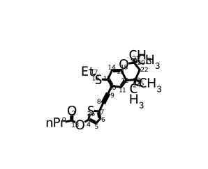 CCCC(=O)Oc1ccc(C#Cc2cc3c(cc2SCC)OC(C)(C)CC3(C)C)s1